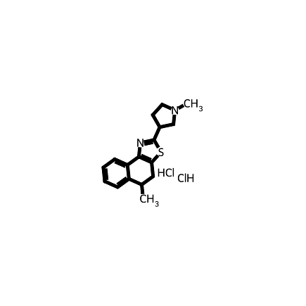 CC1Cc2sc(C3CCN(C)C3)nc2-c2ccccc21.Cl.Cl